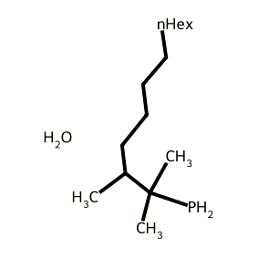 CCCCCCCCCCC(C)C(C)(C)P.O